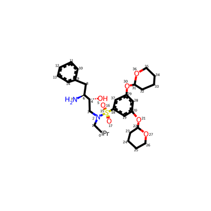 CC(C)CN(C[C@@H](O)[C@@H](N)Cc1ccccc1)S(=O)(=O)c1cc(OC2CCCCO2)cc(OC2CCCCO2)c1